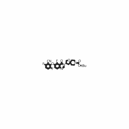 CC(C)(C)OC(=O)N1CCC2(CC1)C[C@H](n1cnc3ccc(Oc4c(F)ccc(F)c4C#N)c(F)c3c1=O)CO2